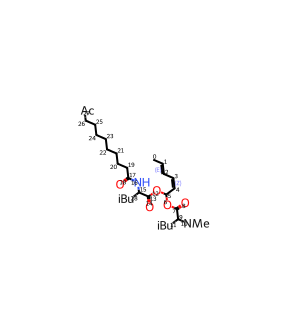 C/C=C/C=C\C(OC(=O)C(NC)C(C)CC)OC(=O)C(NC(=O)CCCCCCCCC(C)=O)C(C)CC